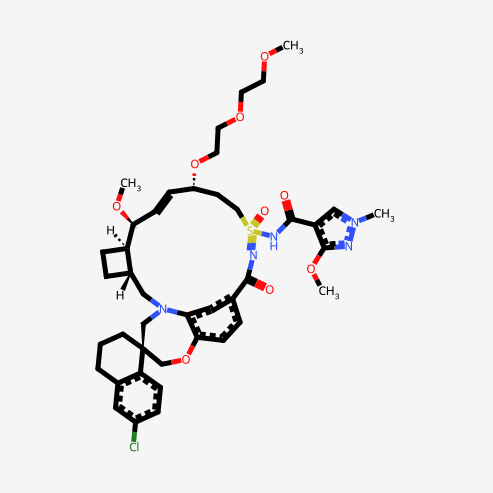 COCCOCCO[C@H]1/C=C/[C@H](OC)[C@@H]2CC[C@H]2CN2C[C@@]3(CCCc4cc(Cl)ccc43)COc3ccc(cc32)C(=O)N=S(=O)(NC(=O)c2cn(C)nc2OC)CC1